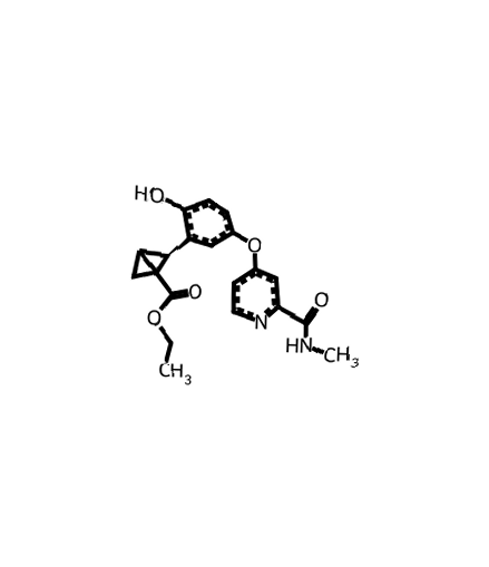 CCOC(=O)C12CC1[C@H]2c1cc(Oc2ccnc(C(=O)NC)c2)ccc1O